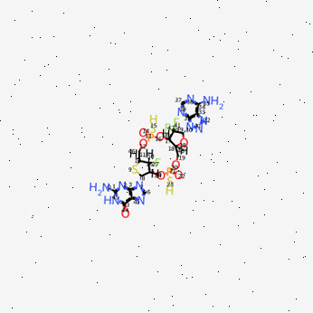 Nc1nc2c(ncn2[C@@H]2S[C@@H]3COP(=O)(S)O[C@@H]4[C@@H](COP(=O)(S)O[C@@H]2[C@H]3F)O[C@@H](n2nnc3c(N)ncnc32)C4(F)F)c(=O)[nH]1